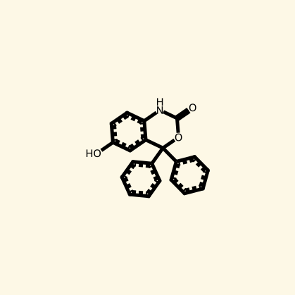 O=C1Nc2ccc(O)cc2C(c2ccccc2)(c2ccccc2)O1